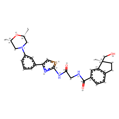 C[C@@H]1CN(c2cccc(-c3csc(NC(=O)CNC(=O)c4ccc5c(c4)[C@@](C)(CO)CC5)n3)c2)C[C@H](C)O1